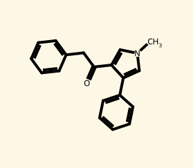 Cn1cc(C(=O)Cc2ccccc2)c(-c2ccccc2)c1